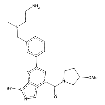 COC1CCN(C(=O)c2cc(-c3cccc(CN(C)CCN)c3)nc3c2cnn3C(C)C)C1